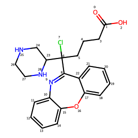 O=C(O)CCCC(Cl)(C1=Nc2ccccc2Oc2ccccc21)C1CNCCN1